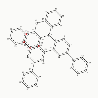 c1ccc(-c2cnc(N3c4ccccc4Oc4ccccc43)c(-c3nc(-c4ccccc4)nc(-c4ccccc4)n3)c2)cc1